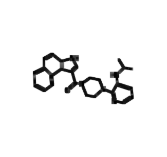 CC(C)Nc1cccnc1N1CCN(C(=O)c2c[nH]c3ccc4ccccc4c23)CC1